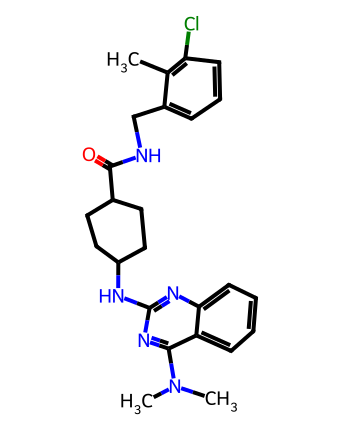 Cc1c(Cl)cccc1CNC(=O)C1CCC(Nc2nc(N(C)C)c3ccccc3n2)CC1